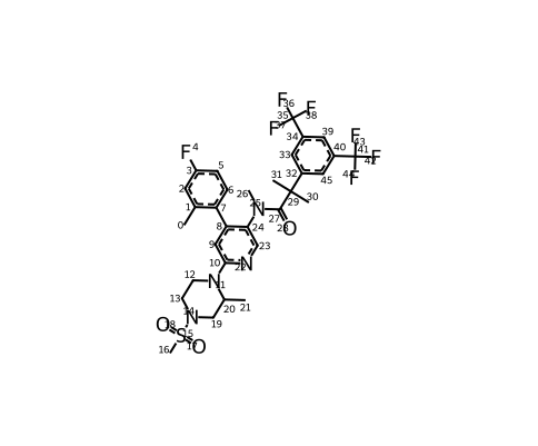 Cc1cc(F)ccc1-c1cc(N2CCN(S(C)(=O)=O)CC2C)ncc1N(C)C(=O)C(C)(C)c1cc(C(F)(F)F)cc(C(F)(F)F)c1